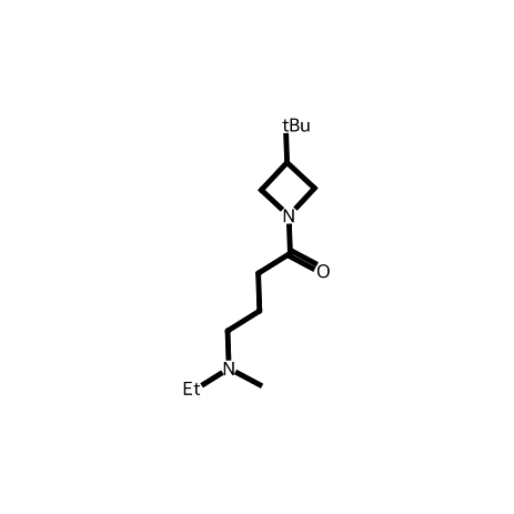 CCN(C)CCCC(=O)N1CC(C(C)(C)C)C1